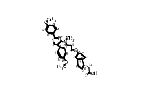 COc1ccc(-c2ncc(-c3ccc(OC)cc3)c(N(C)CCCOc3ccc4c(c3)CC[C@H]4CC(=O)O)n2)cc1